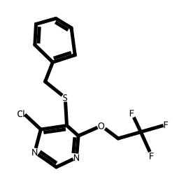 FC(F)(F)COc1ncnc(Cl)c1SCc1ccccc1